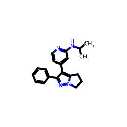 CC(C)Nc1cc(-c2c(-c3ccccc3)nn3c2CCC3)ccn1